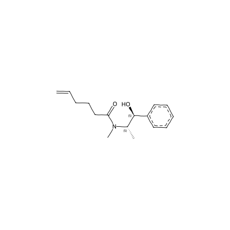 C=CCCCC(=O)N(C)[C@@H](C)[C@@H](O)c1ccccc1